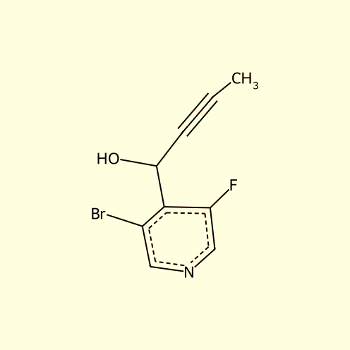 CC#CC(O)c1c(F)cncc1Br